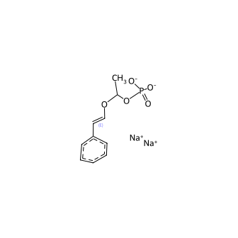 CC(O/C=C/c1ccccc1)OP(=O)([O-])[O-].[Na+].[Na+]